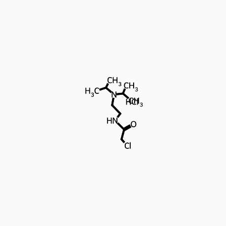 CC(C)N(CCNC(=O)CCl)C(C)C.Cl